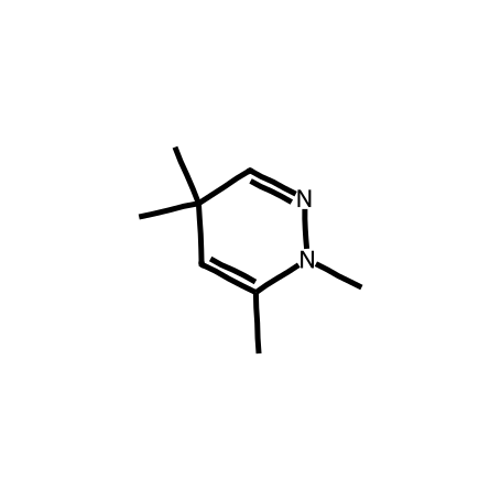 CC1=CC(C)(C)C=NN1C